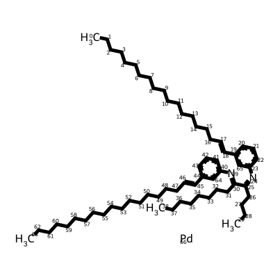 CCCCCCCCCCCCCCCCCC=Cc1cccc(N=C(CCCC)C(CCCCCCCC)=Nc2cccc(C=CCCCCCCCCCCCCCCCCC)c2)c1.[Pd]